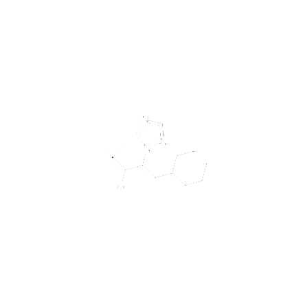 CC(C)(C)C(O)C(CC1CCCCC1)n1cncn1